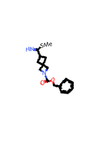 CSC(=N)C1CC2(C1)CN(C(=O)OCc1ccccc1)C2